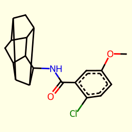 COc1ccc(Cl)c(C(=O)NC2C3C4CC5C6CC(C53)C2C64)c1